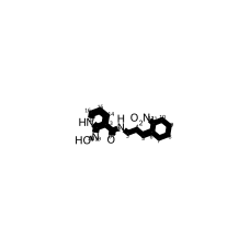 O=C(NCCC=C1CCCCC1[N+](=O)[O-])c1ccc[nH]c1=NO